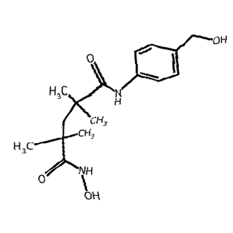 CC(C)(CC(C)(C)C(=O)Nc1ccc(CO)cc1)C(=O)NO